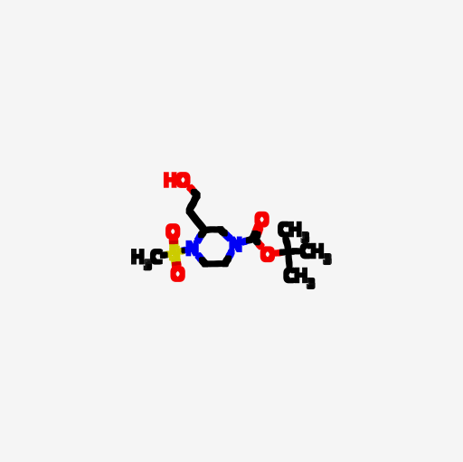 CC(C)(C)OC(=O)N1CCN(S(C)(=O)=O)C(CCO)C1